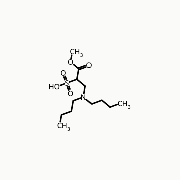 CCCCN(CCCC)CC(C(=O)OC)S(=O)(=O)O